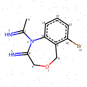 CC(=N)N1C(=N)COCc2c(Br)cccc21